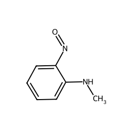 CNc1ccccc1N=O